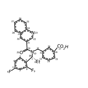 CC[C@H](c1ccc(F)cc1F)N(Cc1cccc(C(=O)O)c1)C(=O)c1cnc2ccccc2c1